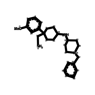 COc1cccc(C2(CN)CCC(NC3CCN(Cc4ccccc4)CC3)CC2)c1